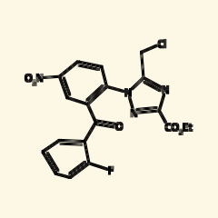 CCOC(=O)c1nc(CCl)n(-c2ccc([N+](=O)[O-])cc2C(=O)c2ccccc2F)n1